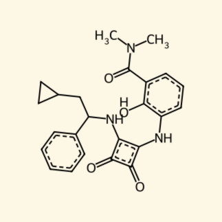 CN(C)C(=O)c1cccc(Nc2c(NC(CC3CC3)c3ccccc3)c(=O)c2=O)c1O